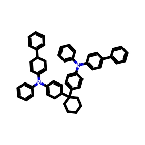 C1=CC(c2ccccc2)CC=C1N(C1=CCC(C2(c3ccc(N(c4ccccc4)c4ccc(-c5ccccc5)cc4)cc3)CCCCC2)C=C1)c1ccccc1